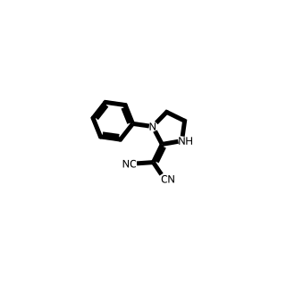 N#CC(C#N)=C1NCCN1c1ccccc1